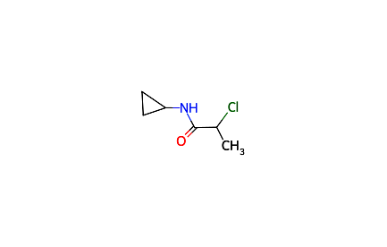 CC(Cl)C(=O)NC1CC1